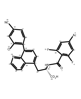 CC(=O)c1cc(F)c(C(=O)N[C@@H](Cc2ccc(-c3ccc(C#N)cc3Cl)c3ncccc23)C(=O)O)c(F)c1